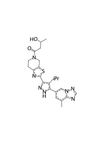 Cc1cc(-c2[nH]nc(-c3nc4c(s3)CN(C(=O)CC(C)O)CC4)c2C(C)C)cn2ncnc12